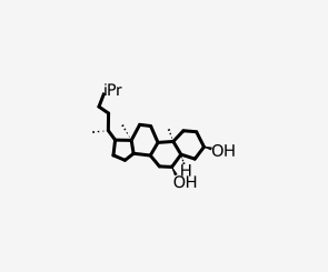 CC(C)CC[C@@H](C)C1CCC2C3C[C@H](O)[C@@H]4C[C@H](O)CC[C@]4(C)C3CC[C@@]21C